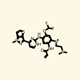 C=CC(=O)Nc1cc(NC2N=C(c3nn(C)c4ccsc34)C=CN2)c(OC(F)F)cc1N(C)CCN(C)C